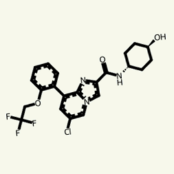 O=C(N[C@H]1CC[C@H](O)CC1)c1cn2cc(Cl)cc(-c3ccccc3OCC(F)(F)F)c2n1